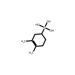 CC1=C(C)CC([Si](O)(O)O)CC1